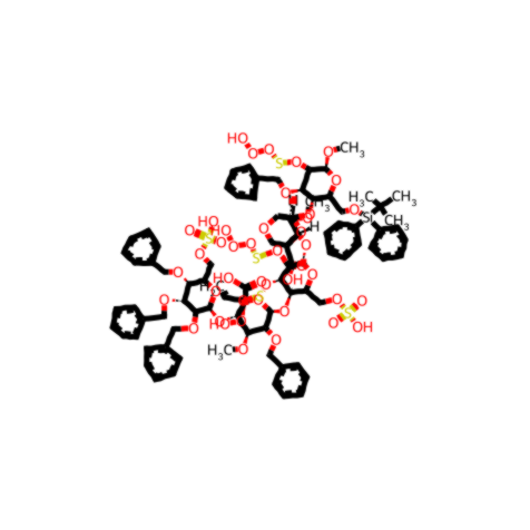 C=CC1(C(=O)O)O[C@@H](O[C@@H]2C(COS(=O)(=O)O)O[C@@H](O[C@H]3[C@H](OC)C4OCC3(C(=O)O)O[C@H]4O[C@@H]3C(CO[Si](c4ccccc4)(c4ccccc4)C(C)(C)C)O[C@H](OC)C(OSOOO)[C@@H]3OCc3ccccc3)C(OSOOO)[C@H]2OSOOO)C(OCc2ccccc2)[C@@H](OC)[C@@H]1O[C@@H]1OC(COS(=O)(=O)O)[C@@H](OCc2ccccc2)[C@@H](OCc2ccccc2)C1OCc1ccccc1